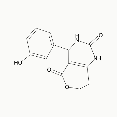 O=C1NC2=C(C(=O)OCC2)C(c2cccc(O)c2)N1